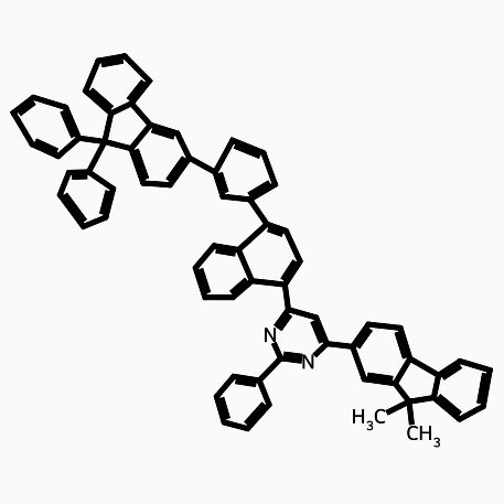 CC1(C)c2ccccc2-c2ccc(-c3cc(-c4ccc(-c5cccc(-c6ccc7c(c6)-c6ccccc6C7(c6ccccc6)c6ccccc6)c5)c5ccccc45)nc(-c4ccccc4)n3)cc21